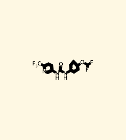 O=C(Nc1ccc(OC(F)F)cc1)Nc1ccc(C(F)(F)F)nc1